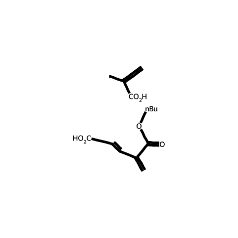 C=C(C)C(=O)O.C=C(C=CC(=O)O)C(=O)OCCCC